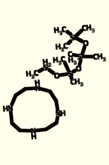 C1CNCCNCCNCCN1.C[SiH2]O[Si](C)(C)O[Si](C)(C)O[Si](C)(C)C